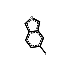 Ic1ccc2cocc2c1